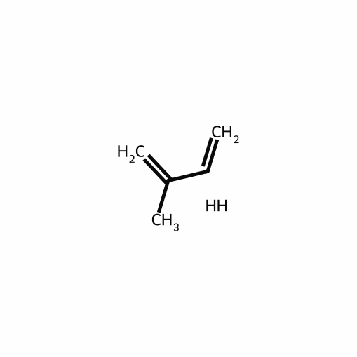 C=CC(=C)C.[HH]